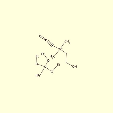 CCC[Si](OCC)(OCC)OCC.C[N+](C)(C#P=O)CCO